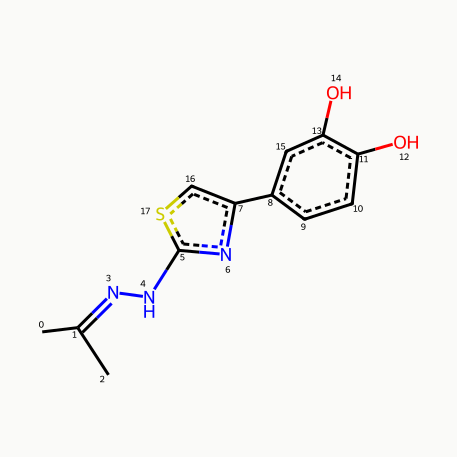 CC(C)=NNc1nc(-c2ccc(O)c(O)c2)cs1